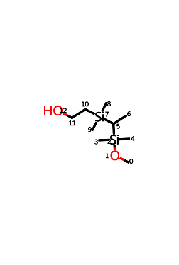 CO[Si](C)(C)C(C)[Si](C)(C)CCO